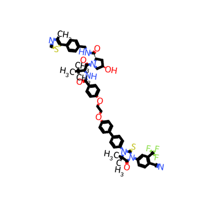 Cc1ncsc1-c1ccc(CNC(=O)[C@@H]2C[C@@H](O)CN2C(=O)C(NC(=O)c2ccc(OCCOc3ccc(-c4ccc(N5C(=S)N(c6ccc(C#N)c(C(F)(F)F)c6)C(=O)C5(C)C)cc4)cc3)cc2)C(C)(C)C)cc1